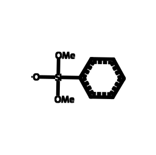 CO[Si]([O])(OC)c1ccccc1